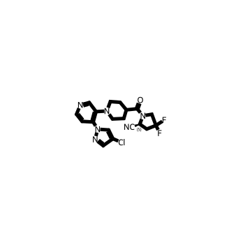 N#C[C@@H]1CC(F)(F)CN1C(=O)C1CCN(c2cnccc2-n2cc(Cl)cn2)CC1